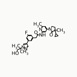 Cc1cc(N2CC[C@@](C)(C3CC3)C2=O)cc(NC(=O)Cc2cc(F)cc(-c3cnn(C(C)(C)CO)c3)c2)n1